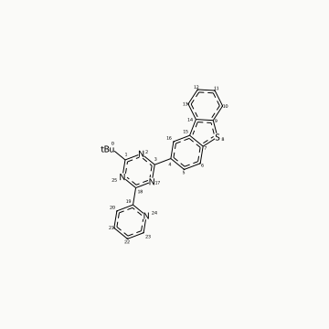 CC(C)(C)c1nc(-c2ccc3sc4ccccc4c3c2)nc(-c2ccccn2)n1